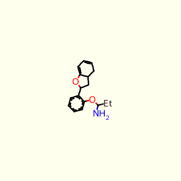 CCC(N)Oc1ccccc1C1CC2CC=CC=C2O1